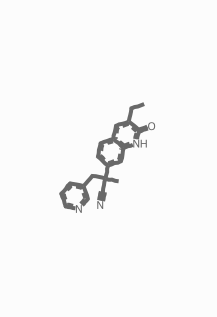 CCc1cc2ccc(C(C)(C#N)Cc3cccnc3)cc2[nH]c1=O